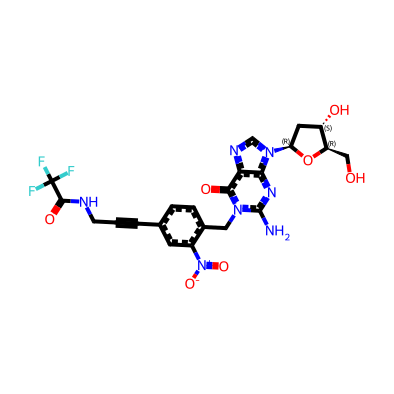 Nc1nc2c(ncn2[C@H]2C[C@H](O)[C@@H](CO)O2)c(=O)n1Cc1ccc(C#CCNC(=O)C(F)(F)F)cc1[N+](=O)[O-]